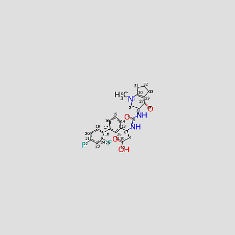 CN1CC(NC(=O)NC(CC(=O)O)c2cccc(-c3ccc(F)cc3F)c2)C(=O)C2=C1CCC2